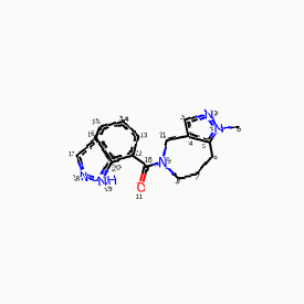 Cn1ncc2c1CCCN(C(=O)c1cccc3cn[nH]c13)C2